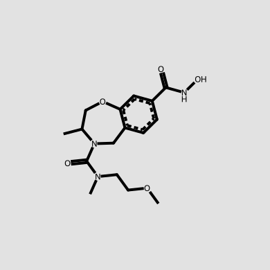 COCCN(C)C(=O)N1Cc2ccc(C(=O)NO)cc2OCC1C